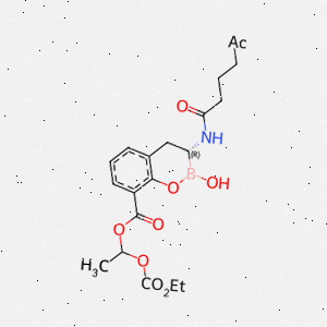 CCOC(=O)OC(C)OC(=O)c1cccc2c1OB(O)[C@@H](NC(=O)CCCC(C)=O)C2